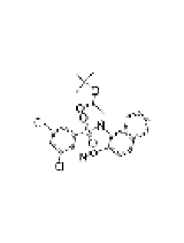 CC(C)(C)OC(=O)CN(c1c(C#N)ccc2ccccc12)S(=O)(=O)c1cc(Cl)cc(Cl)c1